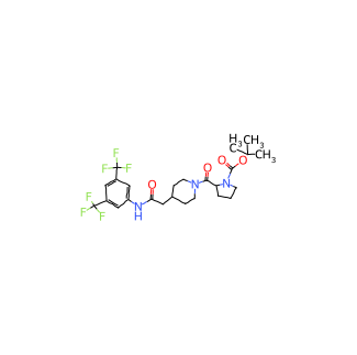 CC(C)(C)OC(=O)N1CCCC1C(=O)N1CCC(CC(=O)Nc2cc(C(F)(F)F)cc(C(F)(F)F)c2)CC1